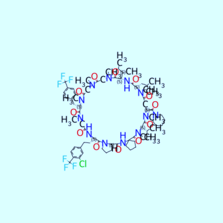 CC[C@H](C)[C@@H]1NC(=O)[C@H](CC(C)C)N(C)C(=O)C[C@@H](C(=O)N2CCCCC2)N(C)C(=O)[C@H](C(C)C)N(C)C(=O)C2(CCCC2)NC(=O)[C@@H]2CCCN2C(=O)[C@H](CCc2ccc(C(F)(F)F)c(Cl)c2)NC(=O)CN(C)C(=O)[C@H](Cc2ccc(C(F)(F)F)cc2)N(C)C(=O)CN(C)C(=O)CN(C)C1=O